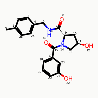 Cc1ccc(CNC(=O)[C@@H]2C[C@@H](O)CN2C(=O)c2cccc(O)c2)cc1